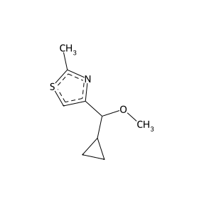 COC(c1csc(C)n1)C1CC1